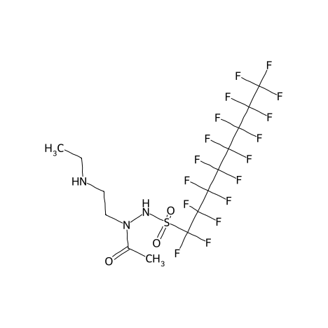 CCNCCN(NS(=O)(=O)C(F)(F)C(F)(F)C(F)(F)C(F)(F)C(F)(F)C(F)(F)C(F)(F)C(F)(F)F)C(C)=O